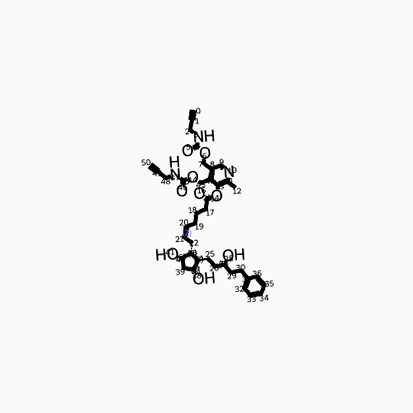 C#CCNC(=O)OCc1cnc(C)c(OC(=O)CCC/C=C\C[C@@H]2[C@@H](CC[C@@H](O)CCc3ccccc3)[C@H](O)C[C@@H]2O)c1COC(=O)NCC#C